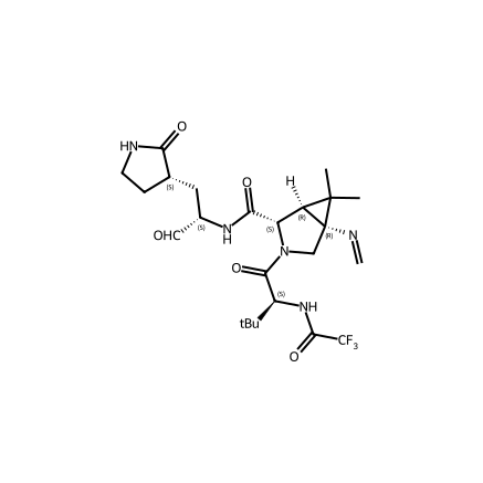 C=N[C@]12CN(C(=O)[C@@H](NC(=O)C(F)(F)F)C(C)(C)C)[C@H](C(=O)N[C@H](C=O)C[C@@H]3CCNC3=O)[C@H]1C2(C)C